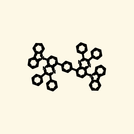 c1ccc(-c2nc3c(-c4ccc(-c5ccc(-n6c7ccccc7c7ccccc76)c6nc(-c7ccccc7)c(-c7ccccc7)nc56)cc4)ccc(-n4c5ccccc5c5ccccc54)c3nc2-c2ccccc2)cc1